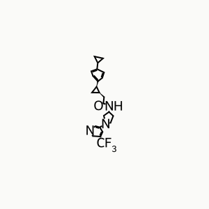 O=C(C[C@H]1C[C@H]1c1ccc(C2CC2)cc1)N[C@@H]1CCN(c2cncc(C(F)(F)F)c2)C1